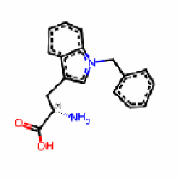 N[C@@H](Cc1cn(Cc2ccccc2)c2ccccc12)C(=O)O